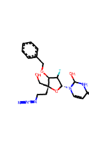 [N-]=[N+]=NCC[C@]1(CO)O[C@@H](N2C=CC(=O)NC2O)C(F)C1OCc1ccccc1